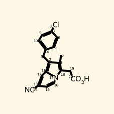 Cc1c(Cc2ccc(Cl)cc2)c2cc(C#N)ccn2c1CC(=O)O